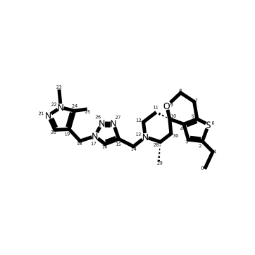 CCc1cc2c(s1)CCO[C@@]21CCN(Cc2cn(Cc3cnn(C)c3C)nn2)[C@@H](C)C1